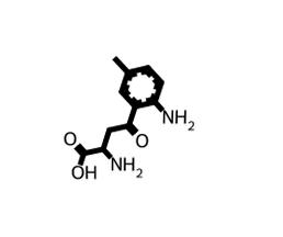 Cc1ccc(N)c(C(=O)CC(N)C(=O)O)c1